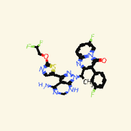 CC(c1nc2ccc(F)cn2c(=O)c1-c1cccc(F)c1)n1nc(-c2cnc(OCC(F)F)s2)c2c1NCN=C2N